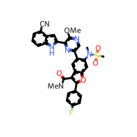 CNC(=O)c1c(-c2ccc(F)cc2)oc2cc(N(C)S(C)(=O)=O)c(-c3cnc(OC)c(-c4cc5c(C#N)cccc5[nH]4)n3)cc12